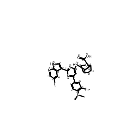 CN(C)c1ccc(-c2cc(NC3C4CCC(CC4)C3C(=O)O)nc(-c3c[nH]c4ncc(F)cc34)n2)cc1F